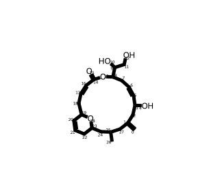 C=C1CC(O)C=CCC(C(O)CO)OC(=O)C=CCC2C=CCC(CC(C)C1)O2